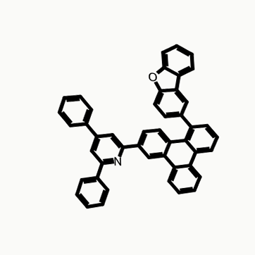 c1ccc(-c2cc(-c3ccccc3)nc(-c3ccc4c(c3)c3ccccc3c3cccc(-c5ccc6oc7ccccc7c6c5)c34)c2)cc1